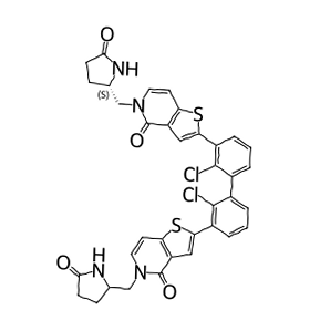 O=C1CCC(Cn2ccc3sc(-c4cccc(-c5cccc(-c6cc7c(=O)n(C[C@@H]8CCC(=O)N8)ccc7s6)c5Cl)c4Cl)cc3c2=O)N1